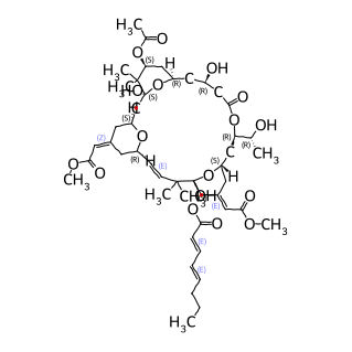 CCC/C=C/C=C/C(=O)O[C@H]1/C(=C/C(=O)OC)C[C@H]2C[C@H]([C@@H](C)O)OC(=O)C[C@H](O)C[C@@H]3C[C@H](OC(C)=O)C(C)(C)[C@](O)(C[C@@H]4C/C(=C/C(=O)OC)C[C@H](/C=C/C(C)(C)C1(O)O2)O4)O3